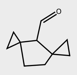 O=CC1C2(CC2)CCC12CC2